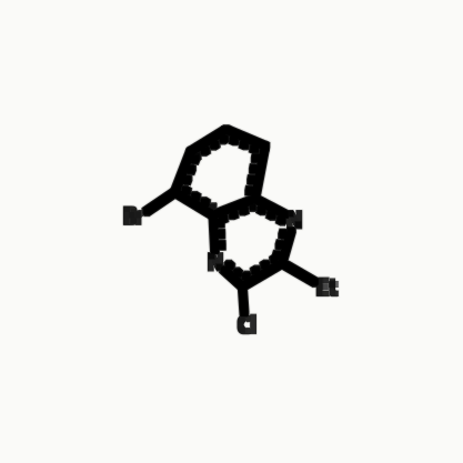 CCc1nc2cccc(Br)c2nc1Cl